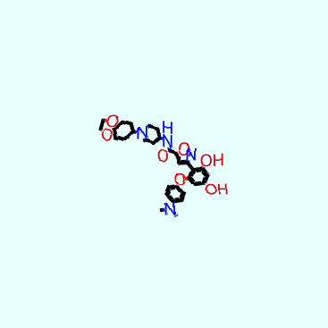 CN(C)c1ccc(Oc2cc(O)cc(O)c2-c2cc(C(=O)NC3CCN(C4CCC5(CC4)OCCO5)CC3)on2)cc1